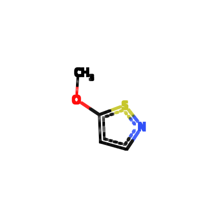 COc1ccns1